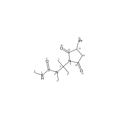 CBC(=O)N(C)C(C)(C)N1C(=O)CC(C(C)C)C1=O